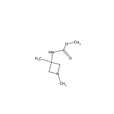 COC(=O)NC1(C)CN(C)C1